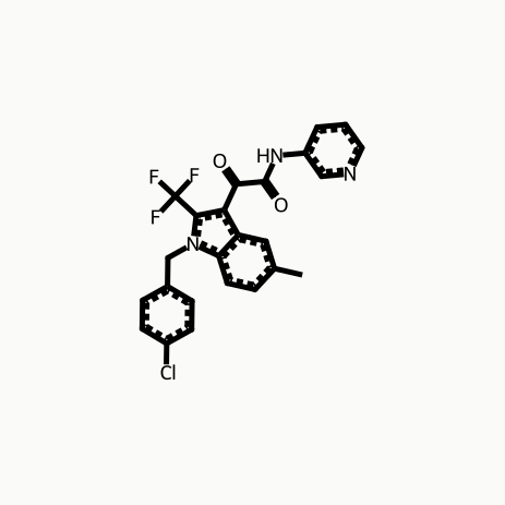 Cc1ccc2c(c1)c(C(=O)C(=O)Nc1cccnc1)c(C(F)(F)F)n2Cc1ccc(Cl)cc1